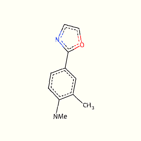 CNc1ccc(-c2ncco2)cc1C